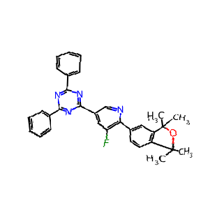 CC1(C)OC(C)(C)c2cc(-c3ncc(-c4nc(-c5ccccc5)nc(-c5ccccc5)n4)cc3F)ccc21